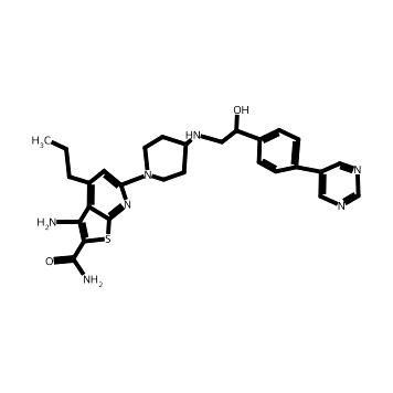 CCCc1cc(N2CCC(NCC(O)c3ccc(-c4cncnc4)cc3)CC2)nc2sc(C(N)=O)c(N)c12